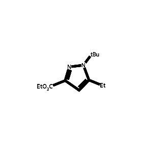 CCOC(=O)c1cc(CC)n(C(C)(C)C)n1